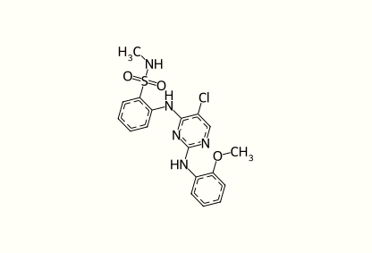 CNS(=O)(=O)c1ccccc1Nc1nc(Nc2ccccc2OC)ncc1Cl